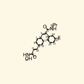 CC(C)NC(=O)C(=Cc1ccc(C=CC(=O)NO)cc1)c1cccc(F)c1